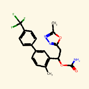 Cc1nnc(CC(OC(N)=O)c2cc(-c3ccc(C(F)(F)F)cc3)ccc2C)o1